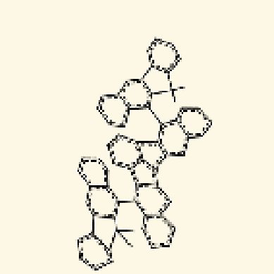 CC1(C)c2ccccc2-c2cc3ccccc3c(-c3c4ccccc4cc4c3c3cccc5c6c(-c7c8c(cc9ccccc79)-c7ccccc7C8(C)C)c7ccccc7cc6n4c35)c21